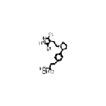 CCc1n[nH]c(CC)c1CCN1CCCC1c1ccc(/C=C/C(=O)NO)cc1